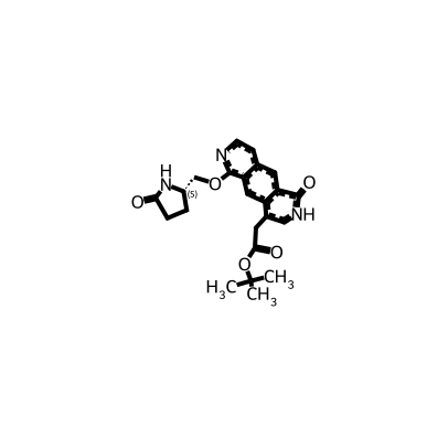 CC(C)(C)OC(=O)Cc1c[nH]c(=O)c2cc3ccnc(OC[C@@H]4CCC(=O)N4)c3cc12